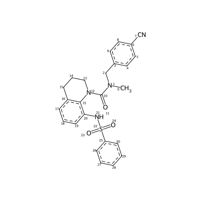 CN(Cc1ccc(C#N)cc1)C(=O)N1CCCc2cccc(NS(=O)(=O)c3ccccc3)c21